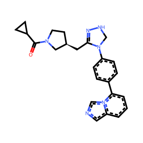 O=C(C1CC1)N1CC[C@@H](CC2=NNCN2c2ccc(-c3cccc4cncn34)cc2)C1